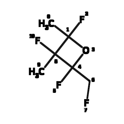 CC1(F)OC(F)(CF)C1(C)F